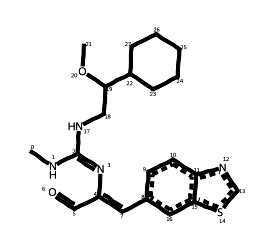 CN/C(=N\C(C=O)=C/c1ccc2ncsc2c1)NCC(OC)C1CCCCC1